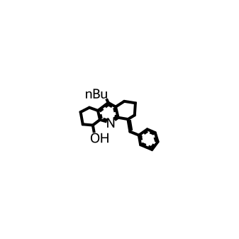 CCCCc1c2c(nc3c1CCCC3O)C(=Cc1ccccc1)CCC2